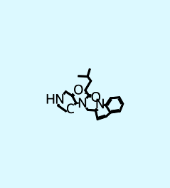 CC(C)C[CH]C(=O)N(Cc1ccc2ccccc2n1)[C@H]1CCCNCC1=O